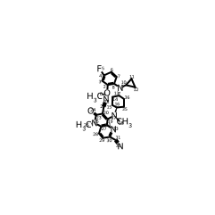 COc1cc(F)ccc1N(C1CC1)[C@H]1CC[C@H](N(C)c2c(C#N)c(=O)n(C)c3ccc(C#N)nc23)CC1